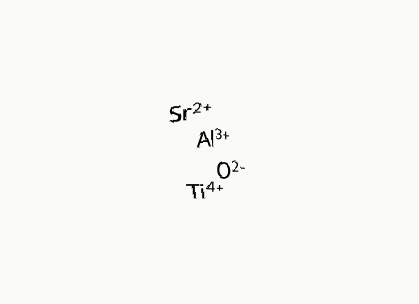 [Al+3].[O-2].[Sr+2].[Ti+4]